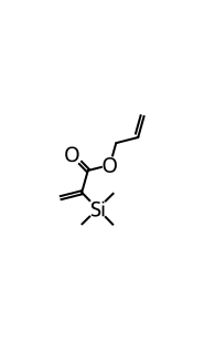 C=CCOC(=O)C(=C)[Si](C)(C)C